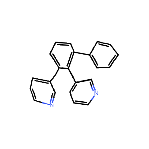 c1ccc(-c2cccc(-c3cccnc3)c2-c2cccnc2)cc1